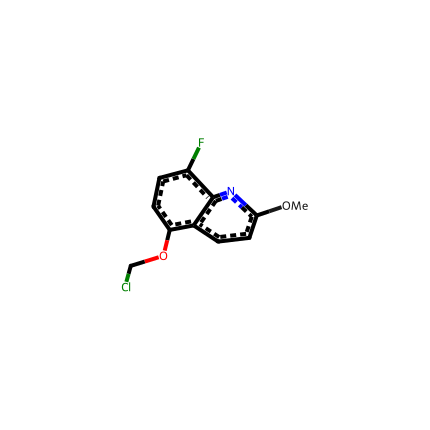 COc1ccc2c(OCCl)ccc(F)c2n1